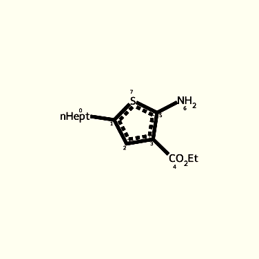 CCCCCCCc1cc(C(=O)OCC)c(N)s1